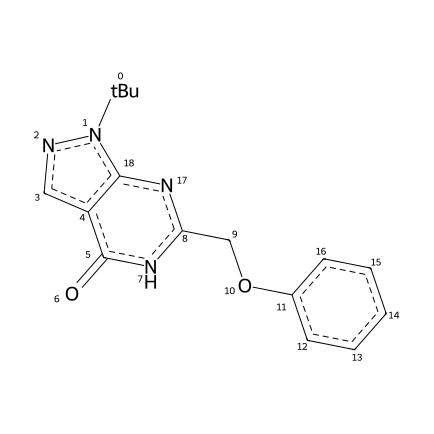 CC(C)(C)n1ncc2c(=O)[nH]c(COc3ccccc3)nc21